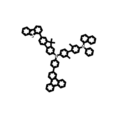 Cc1cc(N(c2ccc(-c3ccc4c5ccccc5c5ccccc5c4c3)cc2)c2ccc3c(c2)C(C)(C)c2cc(-c4cccc5c4sc4ccccc45)ccc2-3)ccc1-c1ccc(N(c2ccccc2)c2cccc3ccccc23)cc1C